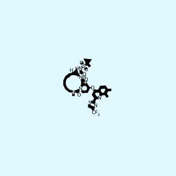 Cc1ccc2c(O[C@H]3CCN4C(=O)N(C)CCCC/C=C\[C@@H]5C[C@@]5(C(=O)NS(=O)(=O)C5(C)CC5)NC(=O)[C@@H]4C3)cc(-c3nc(C(F)(F)F)cs3)nc2c1C